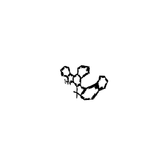 CC1(C)c2ccc3ccccc3c2-c2c1c1[nH]c3ccccc3c1c1ccccc21